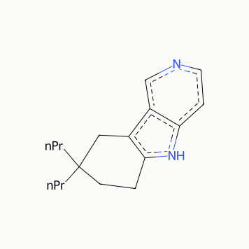 CCCC1(CCC)CCc2[nH]c3ccncc3c2C1